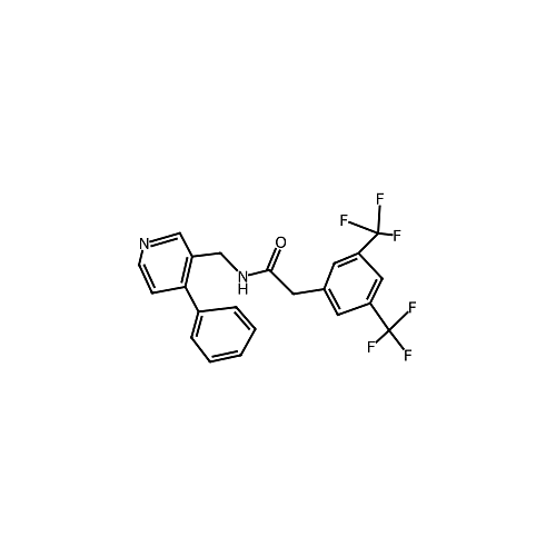 O=C(Cc1cc(C(F)(F)F)cc(C(F)(F)F)c1)NCc1cnccc1-c1ccccc1